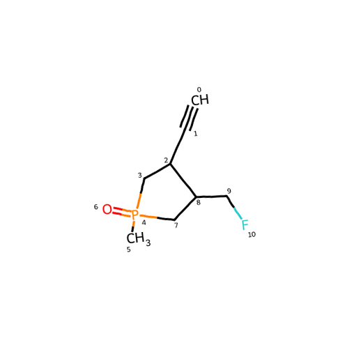 C#CC1CP(C)(=O)CC1CF